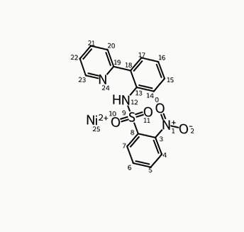 O=[N+]([O-])c1ccccc1S(=O)(=O)Nc1ccccc1-c1ccccn1.[Ni+2]